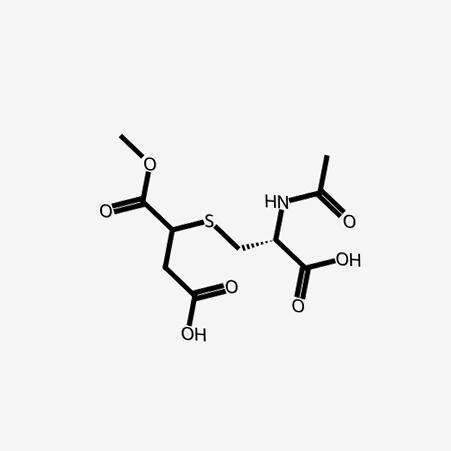 COC(=O)C(CC(=O)O)SC[C@H](NC(C)=O)C(=O)O